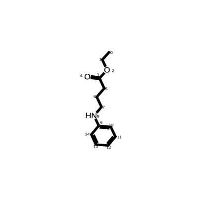 CCOC(=O)CCCNc1ccccc1